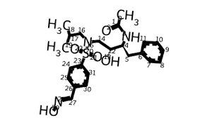 CC(=O)N[C@@H](Cc1ccccc1)[C@H](O)CN(CC(C)C)S(=O)(=O)c1ccc(/C=N/O)cc1